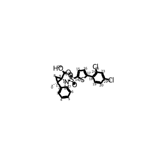 C[C@]1(c2ccccc2)C[C@@]1(NS(=O)(=O)c1ccc(-c2ccc(Cl)cc2Cl)s1)C(=O)O